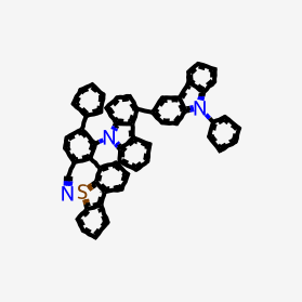 N#Cc1ccc(-c2ccccc2)c(-n2c3ccccc3c3c(-c4ccc5c(c4)c4ccccc4n5-c4ccccc4)cccc32)c1-c1cccc2c1sc1ccccc12